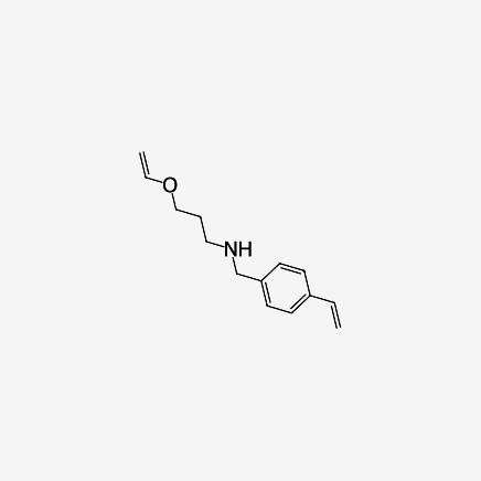 C=COCCCNCc1ccc(C=C)cc1